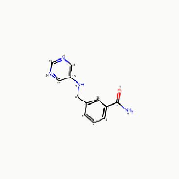 NC(=O)c1cccc(CNc2cncnc2)c1